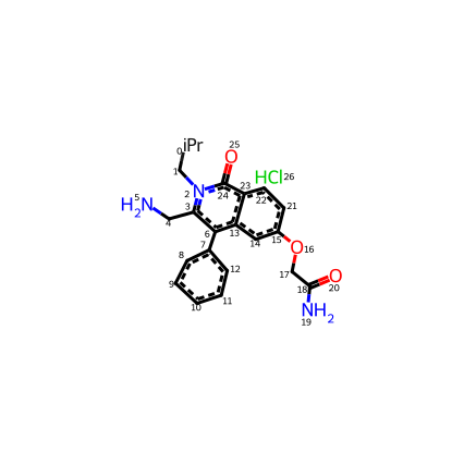 CC(C)Cn1c(CN)c(-c2ccccc2)c2cc(OCC(N)=O)ccc2c1=O.Cl